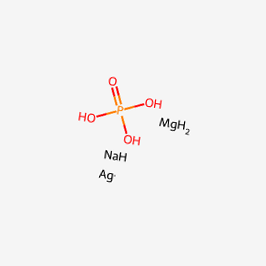 O=P(O)(O)O.[Ag].[MgH2].[NaH]